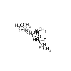 CCn1cc2c(N3CCN(C(=O)OC(C)(C)C)CC3)ccc(C(=O)Nc3cc(F)c4nc(C)c(F)n4c3)c2n1